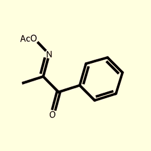 CC(=O)ON=C(C)C(=O)c1ccccc1